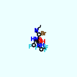 CCCCN(C)Cc1cc(Br)cc(C(=O)N[C@@H](Cc2cc(F)cc(F)c2)[C@H](O)CNCc2cccc(C(F)(F)F)c2)c1